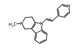 CN1CCc2c(c3ccccc3n2/C=C/c2ccncc2)C1